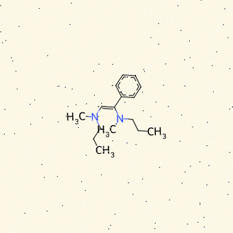 CCCN(C)[C]=C(c1[c]cccc1)N(C)CCC